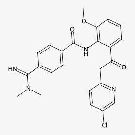 COc1cccc(C(=O)Cc2ccc(Cl)cn2)c1NC(=O)c1ccc(C(=N)N(C)C)cc1